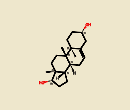 C[C@]12CC[C@@]3(C)[C@@H](CC=C4C[C@@H](O)CC[C@@]43C)[C@@H]1CC[C@@H]2O